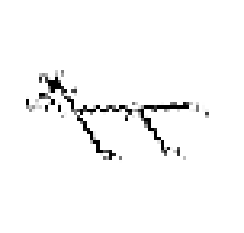 CCCCCCCCC(CCCCCCCC)OC(=O)CCCCCCCN(CCCCCCCC)CCCNc1c(N(CC)CC)c(=O)c1=O